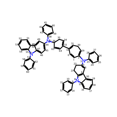 C1=CC(N(C2=Cc3c(n(-c4ccccc4)c4ccccc34)CC2)c2ccccc2)=CCC=C1C1=CCC(N(c2ccccc2)c2ccc3c(c2)c2ccccc2n3-c2ccccc2)C=C1